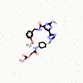 COc1cccc(CNC(=O)c2cc(-c3ncn(C[C@H]4CC[C@H](NC(=O)COC(C)=O)CC4)n3)nc(C)n2)c1